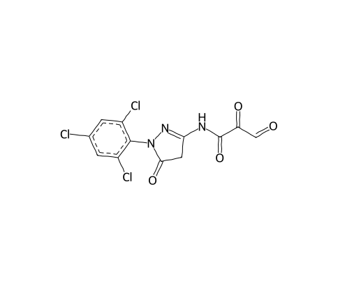 O=CC(=O)C(=O)NC1=NN(c2c(Cl)cc(Cl)cc2Cl)C(=O)C1